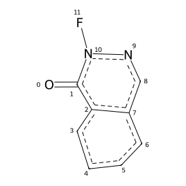 O=c1c2ccccc2cnn1F